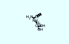 C=C.C=C.C=C.C=C.CCC(N)N.O=[PH](O)O